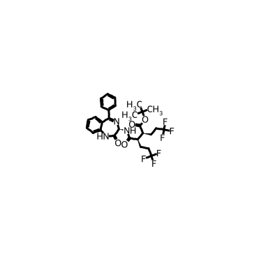 CC(C)(C)OC(=O)[C@@H](CCC(F)(F)F)[C@@H](CCC(F)(F)F)C(=O)N[C@H]1N=C(c2ccccc2)c2ccccc2NC1=O